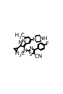 Cc1cc(N2CCNCC2)cc2c(N(C)c3nc(-c4ccc(F)cc4)c(C#N)s3)c(C3CC3)nn12